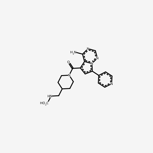 Nc1ncnn2c(-c3ccncc3)cc(C(=O)N3CCC(CNC(=O)O)CC3)c12